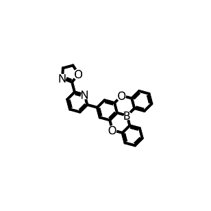 c1cc(C2=NCCO2)nc(-c2cc3c4c(c2)Oc2ccccc2B4c2ccccc2O3)c1